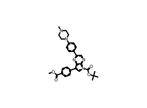 COC(=O)c1ccc(-c2cn(C(=O)OC(C)(C)C)c3ncc(-c4ccc(N5CCN(C)CC5)cc4)nc23)cc1